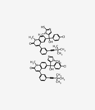 Cn1c(C(O)(c2ccc(Cl)cc2)c2ccc3c(c2)c(-c2cccc(C#C[Si](C)(C)C)c2)cc(=O)n3C)cnc1S.Cn1cncc1C(O)(c1ccc(Cl)cc1)c1ccc2c(c1)c(-c1cccc(C#C[Si](C)(C)C)c1)cc(=O)n2C